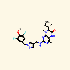 CCOc1c(F)cc(Cn2cc(CNc3nc(C)c4c(n3)N(C)[C@@H]([C@@H](C)COC)C(=O)N4)cn2)cc1F